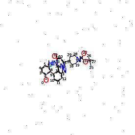 COc1cccc(F)c1-c1cccc2nn3c(C4CCN(C(=O)OC(C)(C)C)CC4)cc(=O)[nH]c3c12